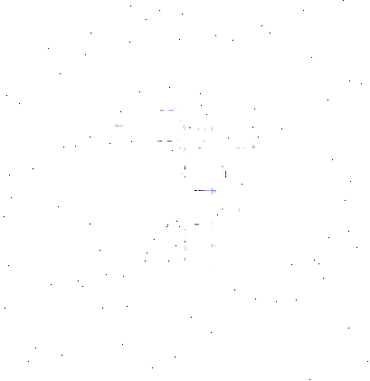 CCOC(=O)C1=CN(C(=O)c2ccc(F)c(C)c2)CC(C)(C)c2c1[nH]c1ncc(OC)cc21